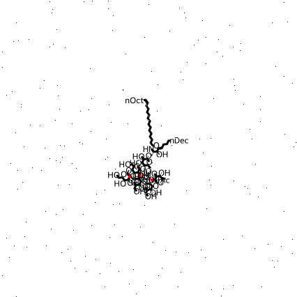 CCCCCCCC/C=C\CCCCCCCCCCCCCC(=O)N[C@@H](CO[C@@H]1OC(CO)[C@@H](O[C@@H]2OC(CO)[C@H](O[C@@H]3OC(CO)[C@H](O)[C@H](O)C3NC(C)=O)[C@H](O[C@H]3OC(CO)[C@H](O)[C@H](O[C@@H]4OC(CO)[C@@H](O)[C@H](O[C@H]5OC(C)[C@@H](O)C(O)[C@@H]5O)C4NC(C)=O)C3O)C2O)[C@H](O)C1O)[C@H](O)/C=C/CCCCCCCCCCCCC